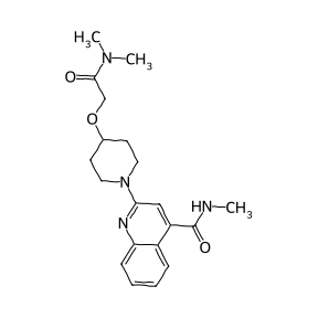 CNC(=O)c1cc(N2CCC(OCC(=O)N(C)C)CC2)nc2ccccc12